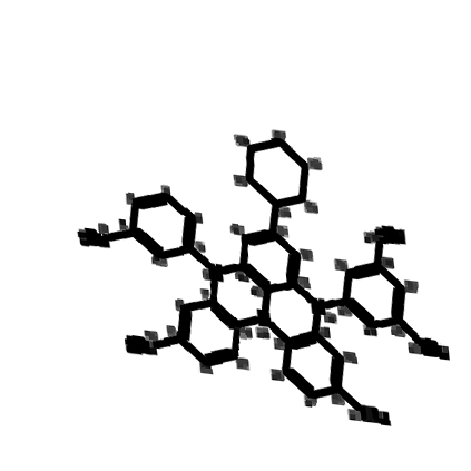 CC(C)(C)c1cccc(N2c3cc(C(C)(C)C)ccc3B3c4ccc(C(C)(C)C)cc4N(c4cc(C(C)(C)C)cc(C(C)(C)C)c4)c4cc(C5CCCCC5)cc2c43)c1